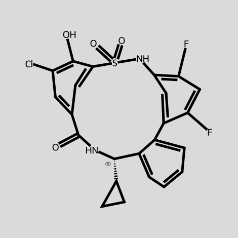 O=C1N[C@@H](C2CC2)c2ccccc2-c2cc(c(F)cc2F)NS(=O)(=O)c2cc1cc(Cl)c2O